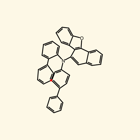 c1ccc(-c2ccc(N(c3ccccc3-c3ccccc3)c3cc4ccccc4c4oc5ccccc5c34)cc2)cc1